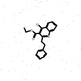 CCOC(=O)c1c(CCc2ccccc2)nc2ccccc2c1Cl